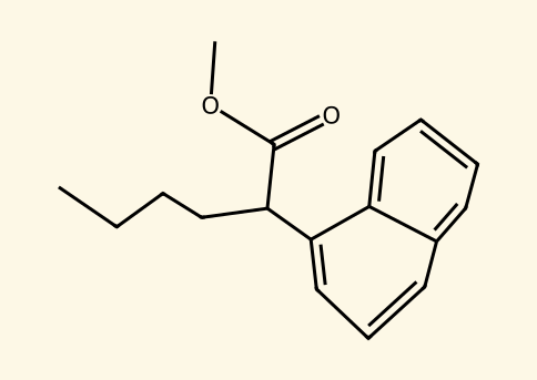 CCCCC(C(=O)OC)c1cccc2ccccc12